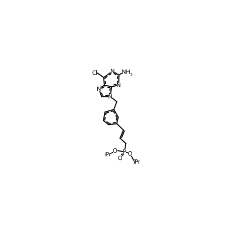 CC(C)OP(=O)(CC=Cc1cccc(Cn2cnc3c(Cl)nc(N)nc32)c1)OC(C)C